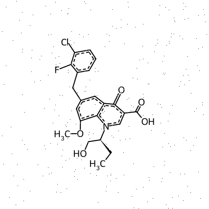 CC[C@@H](CO)n1cc(C(=O)O)c(=O)c2cc(Cc3cccc(Cl)c3F)cc(OC)c21